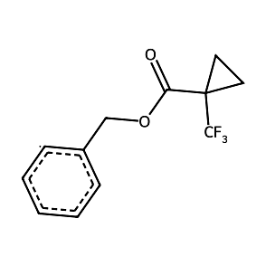 O=C(OCc1[c]cccc1)C1(C(F)(F)F)CC1